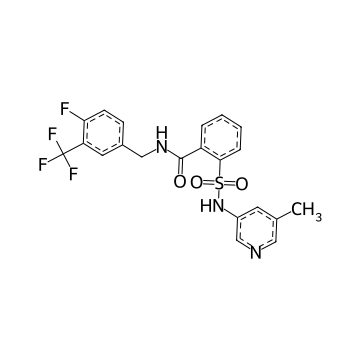 Cc1cncc(NS(=O)(=O)c2ccccc2C(=O)NCc2ccc(F)c(C(F)(F)F)c2)c1